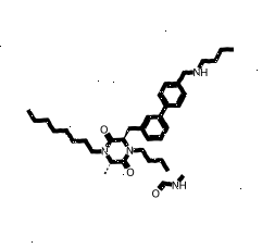 CCCCCCCCN1C(=O)[C@@H](Cc2cccc(-c3ccc(CNCCCC)cc3)c2)N(CCCC)C(=O)[C@@H]1C.CNC=O